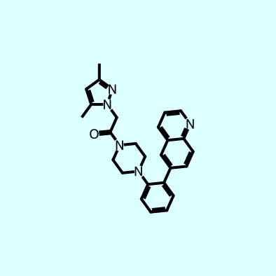 Cc1cc(C)n(CC(=O)N2CCN(c3ccccc3-c3ccc4ncccc4c3)CC2)n1